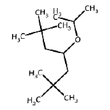 CC(C)OC(CC(C)(C)C)CC(C)(C)C